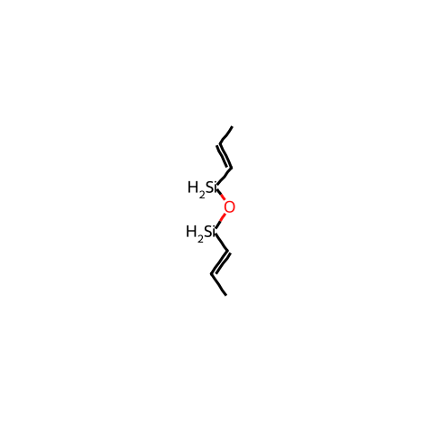 CC=C[SiH2]O[SiH2]C=CC